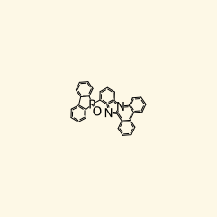 O=P1(c2cccc3c2nc2c4ccccc4c4ccccc4n32)c2ccccc2-c2ccccc21